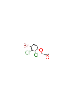 Clc1c(Br)ccc(OCC2CO2)c1Cl